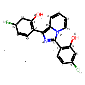 OC1=C(c2nc(-c3ccc(Cl)cc3O)n3ccccc23)C=CC(F)C1